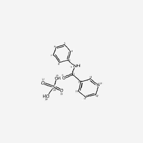 O=C(Nc1ccccc1)c1cccnc1.O=S(=O)(O)O